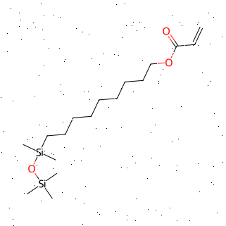 C=CC(=O)OCCCCCCCCC[Si](C)(C)O[Si](C)(C)C